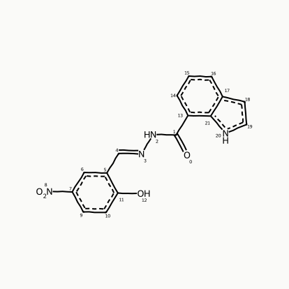 O=C(N/N=C/c1cc([N+](=O)[O-])ccc1O)c1cccc2cc[nH]c12